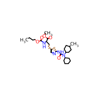 CCCCOC(=O)NC(CSc1cnc(NC(=O)N(C2CCCCC2)C2CCC(C)CC2)s1)C(=O)OC